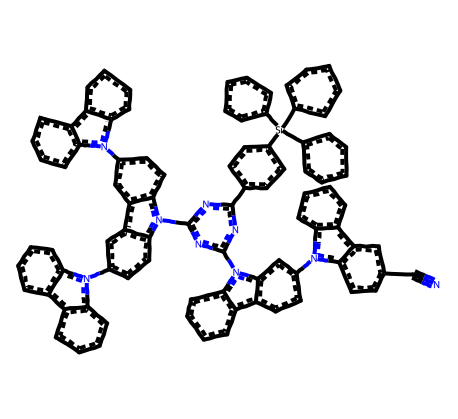 N#Cc1ccc2c(c1)c1ccccc1n2-c1ccc2c3ccccc3n(-c3nc(-c4ccc([Si](c5ccccc5)(c5ccccc5)c5ccccc5)cc4)nc(-n4c5ccc(-n6c7ccccc7c7ccccc76)cc5c5cc(-n6c7ccccc7c7ccccc76)ccc54)n3)c2c1